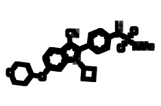 CNS(=O)(=O)Nc1ccc(-c2c(C#N)c3ccc(OC4CCOCC4)cc3n2C2CCC2)cc1